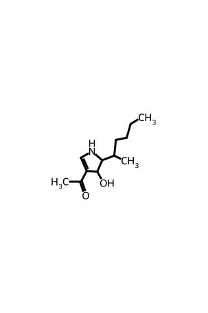 CCCCC(C)C1NC=C(C(C)=O)C1O